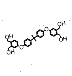 CC(C)(c1ccc(Oc2ccc(CO)c(CO)c2)cc1)c1ccc(Oc2ccc(CO)c(CO)c2)cc1